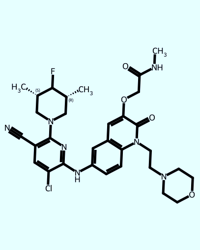 CNC(=O)COc1cc2cc(Nc3nc(N4C[C@@H](C)C(F)[C@@H](C)C4)c(C#N)cc3Cl)ccc2n(CCN2CCOCC2)c1=O